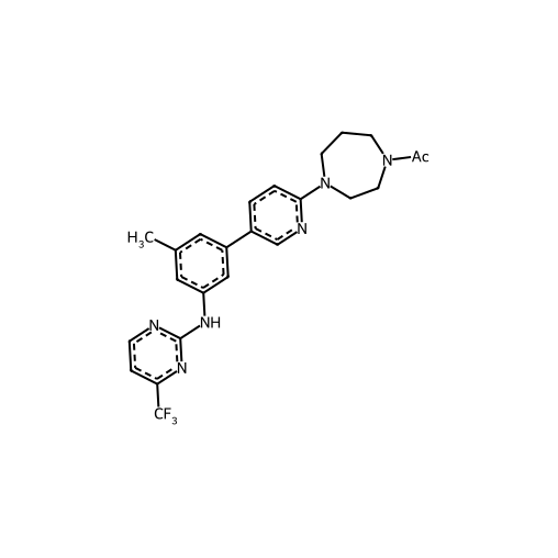 CC(=O)N1CCCN(c2ccc(-c3cc(C)cc(Nc4nccc(C(F)(F)F)n4)c3)cn2)CC1